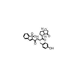 O=C(N[C@@H](Cc1ccc(O)cc1)C(=O)N1CC[C@H]2OCC(=O)[C@H]21)C1=Cc2ccccc2S1(=O)=O